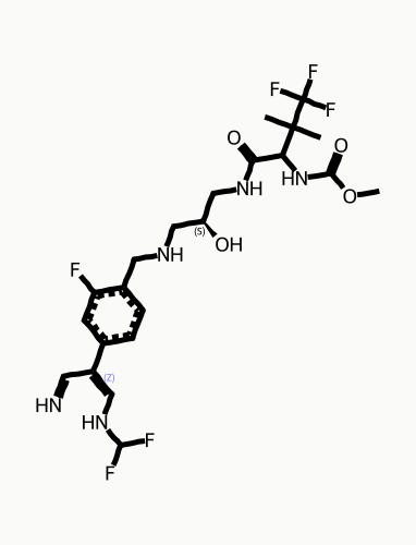 COC(=O)NC(C(=O)NC[C@@H](O)CNCc1ccc(/C(C=N)=C/NC(F)F)cc1F)C(C)(C)C(F)(F)F